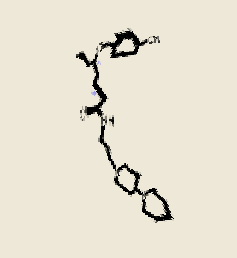 C=C/C(=C\C=C\C(=O)NCCCN1CCC(N2CCCCC2)CC1)Oc1ccc(C#N)cc1